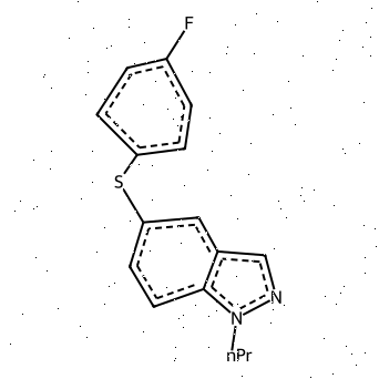 CCCn1ncc2cc(Sc3ccc(F)cc3)ccc21